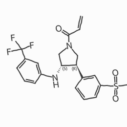 C=CC(=O)N1C[C@@H](Nc2cccc(C(F)(F)F)c2)[C@H](c2cccc(S(C)(=O)=O)c2)C1